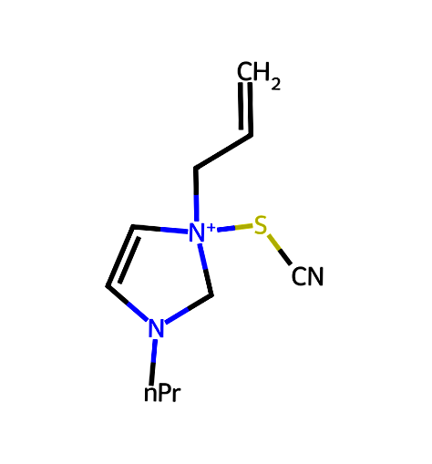 C=CC[N+]1(SC#N)C=CN(CCC)C1